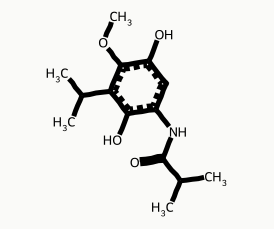 COc1c(O)cc(NC(=O)C(C)C)c(O)c1C(C)C